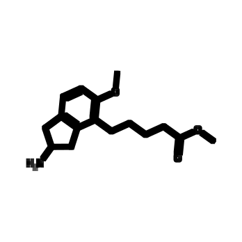 COC(=O)CCCCc1c(OC)ccc2c1CC(N)C2